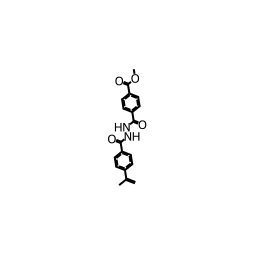 C=C(C)c1ccc(C(=O)NNC(=O)c2ccc(C(=O)OC)cc2)cc1